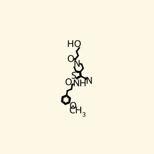 COc1cccc(CCC(=O)Nc2sc3c(c2C#N)CCN(C(=O)CCCO)C3)c1